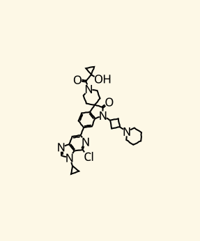 O=C(N1CCC2(CC1)C(=O)N(C1CC(N3CCCCC3)C1)c1cc(-c3cc4ncn(C5CC5)c4c(Cl)n3)ccc12)C1(O)CC1